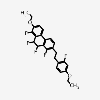 CCOc1ccc(CCc2ccc3c(c2F)C(F)C(F)c2c-3ccc(OCC)c2F)c(F)c1